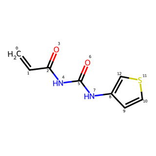 C=CC(=O)NC(=O)Nc1ccsc1